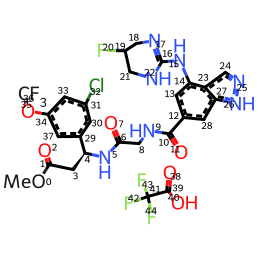 COC(=O)C[C@H](NC(=O)CNC(=O)c1cc(NC2=NCC(F)CN2)c2cn[nH]c2c1)c1cc(Cl)cc(OC(F)(F)F)c1.O=C(O)C(F)(F)F